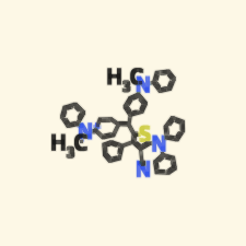 CN(c1ccccc1)c1ccc(C(=C2C=CC(=[N+](C)c3ccccc3)C=C2)c2sc(N(c3ccccc3)c3ccccc3)c(C#N)c2-c2ccccc2)cc1